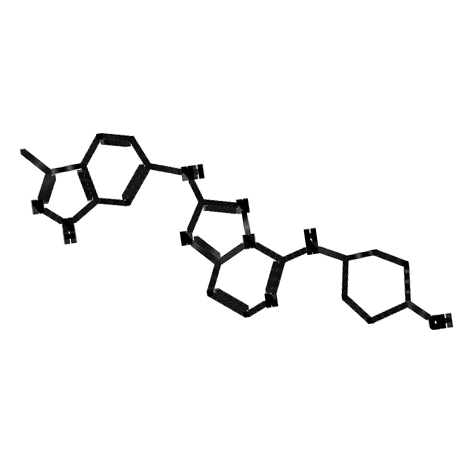 Cc1n[nH]c2cc(Nc3nc4ccnc(NC5CCC(O)CC5)n4n3)ccc12